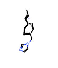 [CH2]/C=C/c1ccc(Cn2ccnc2)cc1